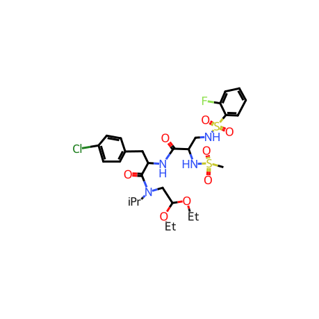 CCOC(CN(C(=O)C(Cc1ccc(Cl)cc1)NC(=O)C(CNS(=O)(=O)c1ccccc1F)NS(C)(=O)=O)C(C)C)OCC